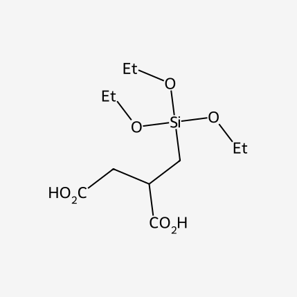 CCO[Si](CC(CC(=O)O)C(=O)O)(OCC)OCC